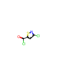 O=C(Cl)c1cc(Cl)ns1